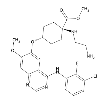 COc1cc2ncnc(Nc3cccc(Cl)c3F)c2cc1O[C@H]1CC[C@@](NCCN)(C(=O)OC)CC1